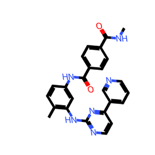 CNC(=O)c1ccc(C(=O)Nc2ccc(C)c(Nc3nccc(-c4cccnc4)n3)c2)cc1